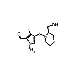 Cn1cc(SN2CCCCC2CO)c(F)c1C=O